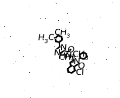 Cc1ccc(-c2cnc(C)c(C(=O)N[C@@H](C)c3cc4cccc(Cl)c4c(=O)n3-c3ccccc3)n2)cc1C